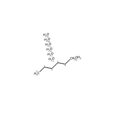 CCCCCC.O.O.O.O.O.O.O